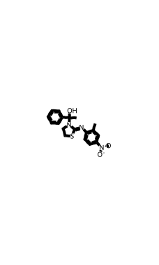 Cc1cc([N+](=O)[O-])ccc1N=C1SCCN1C(C)(O)c1ccccc1